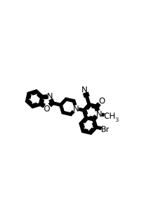 Cn1c(=O)c(C#N)c(N2CCC(c3nc4ccccc4o3)CC2)c2cccc(Br)c21